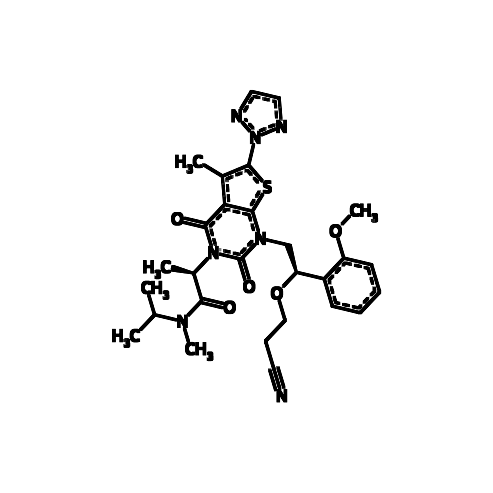 COc1ccccc1[C@H](Cn1c(=O)n([C@H](C)C(=O)N(C)C(C)C)c(=O)c2c(C)c(-n3nccn3)sc21)OCCC#N